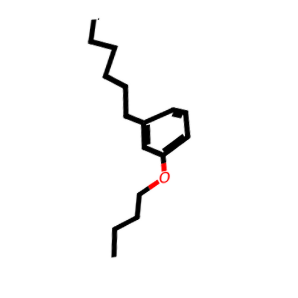 [CH2]CCCCCc1cccc(OCCCC)c1